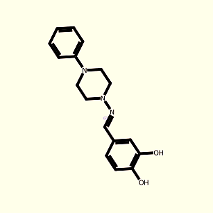 Oc1ccc(/C=N/N2CCN(c3ccccc3)CC2)cc1O